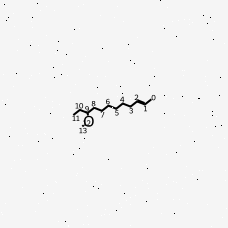 C/C=C/CCCCCCC(CC)OC